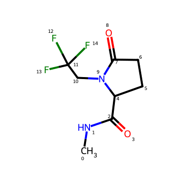 CNC(=O)C1CCC(=O)N1CC(F)(F)F